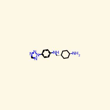 N[C@H]1CC[C@H](CNc2ccc(-n3ncnn3)cc2)CC1